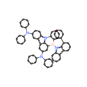 c1ccc(-c2cccc3c4ccccc4n(B4c5ccccc5-n5c6ccc(N(c7ccccc7)c7ccccc7)cc6c6cc(N(c7ccccc7)c7ccccc7)cc4c65)c23)cc1